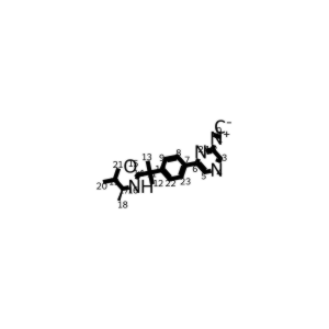 [C-]#[N+]c1cncc(-c2ccc(C(C)(C)C(=O)N[C@@H](C)C(C)C)cc2)n1